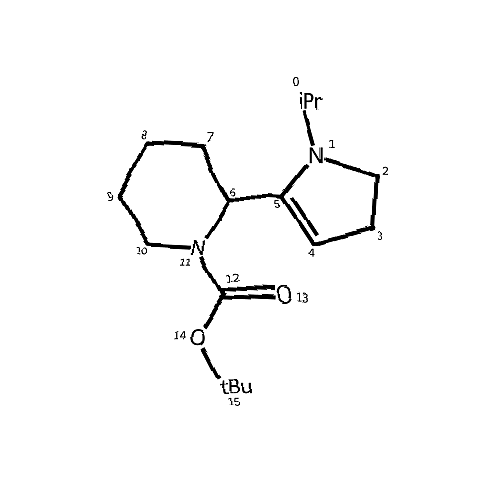 CC(C)N1CCC=C1C1CCCCN1C(=O)OC(C)(C)C